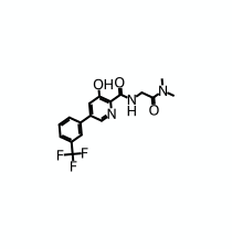 CN(C)C(=O)CNC(=O)c1ncc(-c2cccc(C(F)(F)F)c2)cc1O